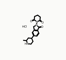 CC1CC(c2ccc3c(c2)CN(N2C(=O)CCCC2=O)C3=O)CCN1.Cl